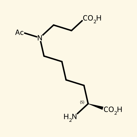 CC(=O)N(CCCC[C@H](N)C(=O)O)CCC(=O)O